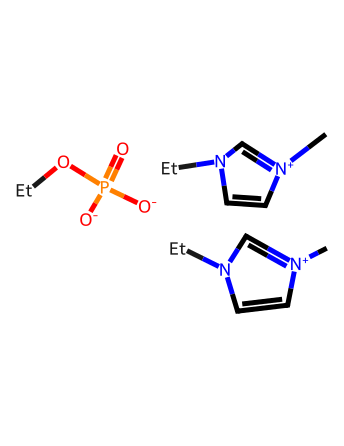 CCOP(=O)([O-])[O-].CCn1cc[n+](C)c1.CCn1cc[n+](C)c1